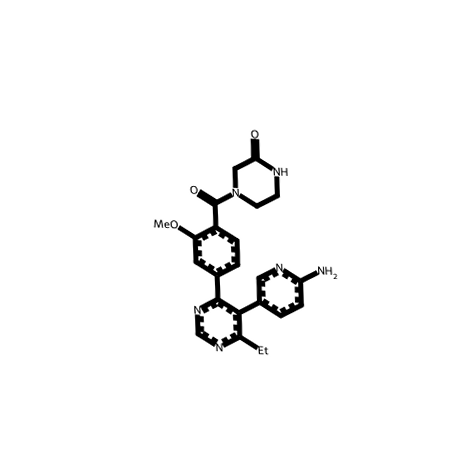 CCc1ncnc(-c2ccc(C(=O)N3CCNC(=O)C3)c(OC)c2)c1-c1ccc(N)nc1